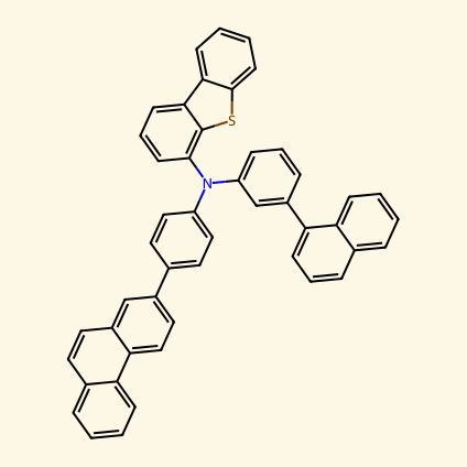 c1cc(-c2cccc3ccccc23)cc(N(c2ccc(-c3ccc4c(ccc5ccccc54)c3)cc2)c2cccc3c2sc2ccccc23)c1